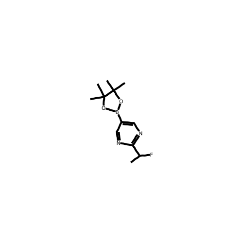 CC(F)c1ncc(B2OC(C)(C)C(C)(C)O2)cn1